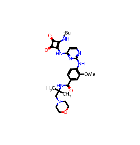 COc1cc(C(=O)NC(C)(C)CN2CCOCC2)ccc1Nc1nccc(Nc2c(NC(C)(C)C)c(=O)c2=O)n1